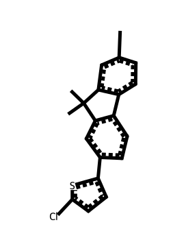 Cc1ccc2c(c1)C(C)(C)c1cc(-c3ccc(Cl)s3)ccc1-2